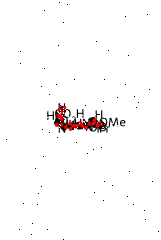 COC(=O)N[C@H](C(=O)N1CCCC1c1ncc(-c2ccc(-c3ccc(-c4cnc([C@@H]5CCCN5C(=O)[C@H](Cc5ccncc5)NC(=O)O)[nH]4)cc3)cc2)[nH]1)C(C)C